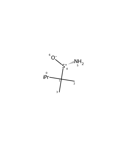 CC(C)C(C)(C)[S@@+](N)[O-]